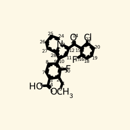 CCc1c(C(=O)O)ccc(-c2cc(C(=O)c3c(F)cccc3Cl)n3ccccc23)c1F